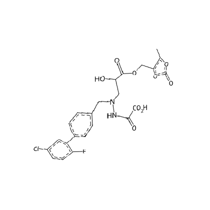 Cc1oc(=O)oc1COC(=O)C(O)CN(Cc1ccc(-c2cc(Cl)ccc2F)cc1)NC(=O)C(=O)O